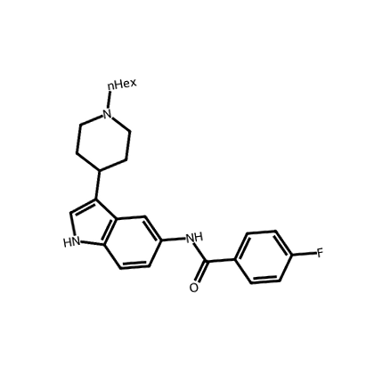 CCCCCCN1CCC(c2c[nH]c3ccc(NC(=O)c4ccc(F)cc4)cc23)CC1